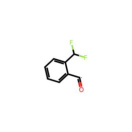 O=[C]c1ccccc1C(F)F